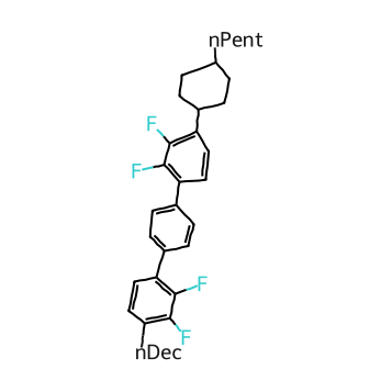 CCCCCCCCCCc1ccc(-c2ccc(-c3ccc(C4CCC(CCCCC)CC4)c(F)c3F)cc2)c(F)c1F